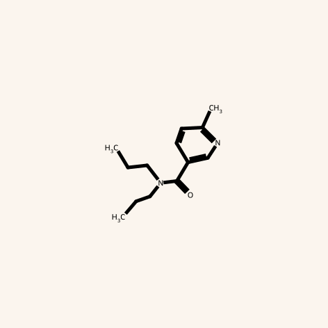 CCCN(CCC)C(=O)c1ccc(C)nc1